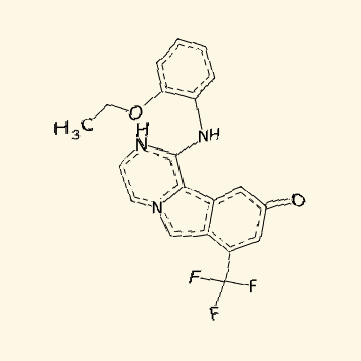 CCOc1ccccc1Nc1[nH]ccn2cc3c(C(F)(F)F)cc(=O)cc3c12